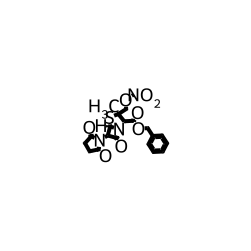 C[C@@]1(CO[N+](=O)[O-])S[C@H]2C(N3C(=O)CCC3=O)C(=O)N2C1C(=O)OCc1ccccc1